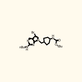 CCCCNc1ncc2c(Br)cn(CC3CCC(NC(=O)OC(C)(C)C)CC3)c2n1